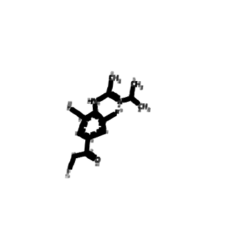 CC(=NC(C)C)Nc1c(F)cc(C(=O)CF)cc1F